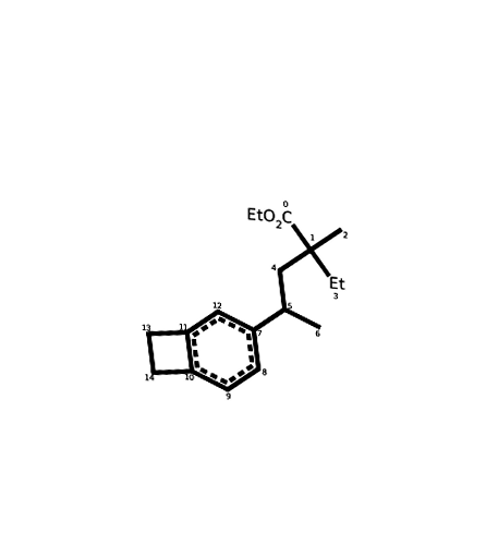 CCOC(=O)C(C)(CC)CC(C)c1ccc2c(c1)CC2